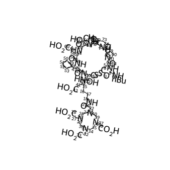 CCCCNC(=O)N[C@H]1CSSC[C@@H](C(O)N[C@@H](CCCCNC(=O)CN2CCN(CC(=O)O)CCN(CC(=O)O)CCN(CC(=O)O)CC2)CC(=O)O)NC(=O)[C@H](Cc2ccccc2)NC(=O)[C@H](CCC(=O)O)NC(=O)[C@H]([C@@H](C)O)NC(=O)[C@@H]2CCCN2C(=O)[C@@H]2CCCN2C1=O